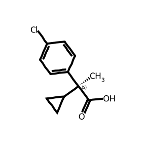 C[C@@](C(=O)O)(c1ccc(Cl)cc1)C1CC1